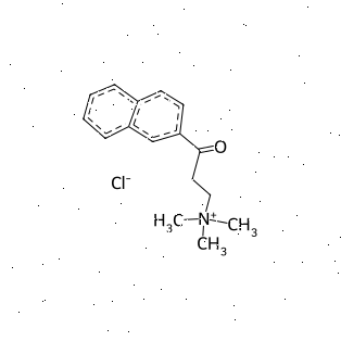 C[N+](C)(C)CCC(=O)c1ccc2ccccc2c1.[Cl-]